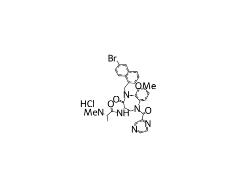 CN[C@@H](C)C(=O)N[C@H]1CN(C(=O)c2cnccn2)c2ccccc2N(Cc2c(OC)ccc3cc(Br)ccc23)C1=O.Cl